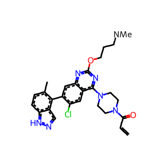 C=CC(=O)N1CCN(c2nc(OCCCNC)nc3cc(-c4c(C)ccc5[nH]ncc45)c(Cl)cc23)CC1